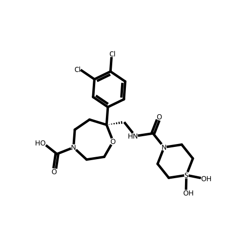 O=C(O)N1CCO[C@](CNC(=O)N2CCS(O)(O)CC2)(c2ccc(Cl)c(Cl)c2)CC1